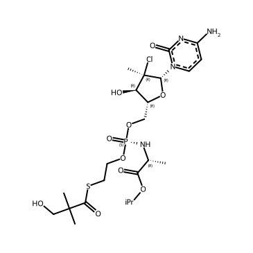 CC(C)OC(=O)[C@@H](C)N[P@@](=O)(OCCSC(=O)C(C)(C)CO)OC[C@H]1O[C@@H](n2ccc(N)nc2=O)[C@](C)(Cl)[C@@H]1O